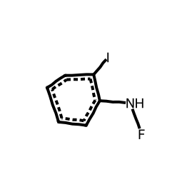 FNc1ccccc1I